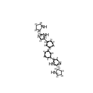 c1cc(-c2cccc(-c3cnc([C@@H]4CCCN4)[nH]3)c2)cc(-c2cnc([C@@H]3CCCN3)[nH]2)c1